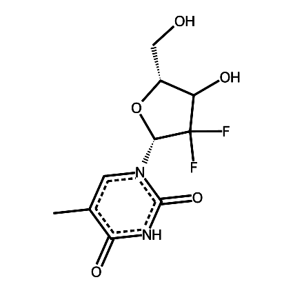 Cc1cn([C@@H]2O[C@H](CO)C(O)C2(F)F)c(=O)[nH]c1=O